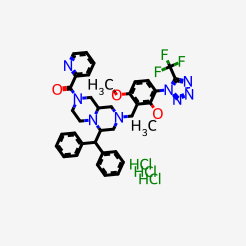 COc1ccc(-n2nnnc2C(F)(F)F)c(OC)c1CN1CC2CN(C(=O)c3ccccn3)CCN2C(C(c2ccccc2)c2ccccc2)C1.Cl.Cl.Cl